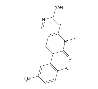 CNc1cc2c(cn1)cc(-c1cc(N)ccc1Cl)c(=O)n2C